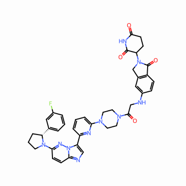 O=C1CCC(N2Cc3cc(NCC(=O)N4CCN(c5cccc(-c6cnc7ccc(N8CCC[C@@H]8c8cccc(F)c8)nn67)n5)CC4)ccc3C2=O)C(=O)N1